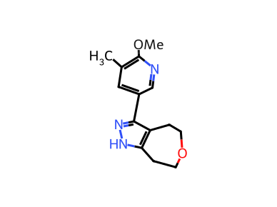 COc1ncc(-c2n[nH]c3c2CCOCC3)cc1C